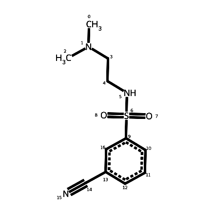 CN(C)CCNS(=O)(=O)c1cccc(C#N)c1